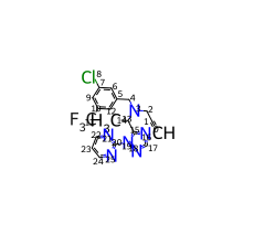 C#CCN(Cc1cc(Cl)cc(C(F)(F)F)c1)C(C)c1ncnn1-c1ncccn1